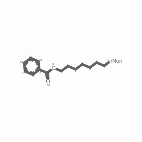 CCCCCCCCCCCCCCCCOC(=O)c1cc[c]cc1